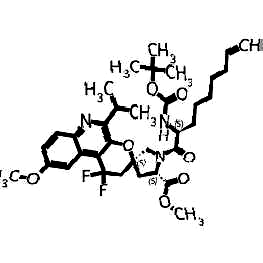 C=CCCCCC[C@H](NC(=O)OC(C)(C)C)C(=O)N1C[C@]2(C[C@H]1C(=O)OC)CC(F)(F)c1c(c(C(C)C)nc3ccc(OC)cc13)O2